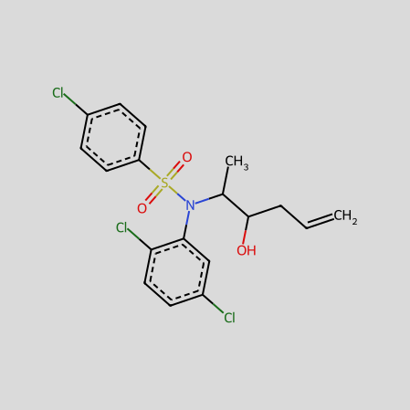 C=CCC(O)C(C)N(c1cc(Cl)ccc1Cl)S(=O)(=O)c1ccc(Cl)cc1